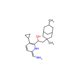 CC1CC2CC(C1)CC(C)(CC(O)C1=C(C3CC3)C=C/C(=C/N)N1)C2